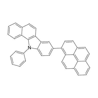 c1ccc(-n2c3ccc(-c4ccc5ccc6cccc7ccc4c5c67)cc3c3ccc4ccccc4c32)cc1